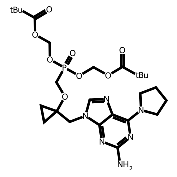 CC(C)(C)C(=O)OCOP(=O)(COC1(Cn2cnc3c(N4CCCC4)nc(N)nc32)CC1)OCOC(=O)C(C)(C)C